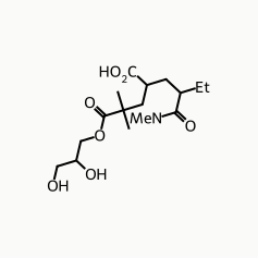 CCC(CC(CC(C)(C)C(=O)OCC(O)CO)C(=O)O)C(=O)NC